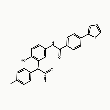 O=C(Nc1ccc(O)c(N(c2ccc(F)cc2)[SH](=O)=O)c1)c1ccc(-c2cccs2)cc1